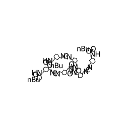 CCCCOC(=O)NCC1CCCC(CN=C=NCC2CCCC(Cn3c(=O)n(CC4CCCC(CN=C=NCC5CCCC(CNC(=O)OCCCC)C5)C4)c(=O)n(CC4CCCC(CN=C=NCC5CCCC(CNC(=O)OCCCC)C5)C4)c3=O)C2)C1